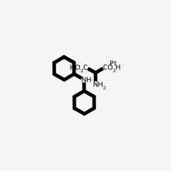 C1CCC(NC2CCCCC2)CC1.NC(C(=O)O)C(=O)O.[Pt]